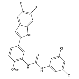 COc1ccc(-c2cc3cc(F)c(F)cc3[nH]2)cc1NC(=O)Nc1cc(Cl)cc(Cl)c1